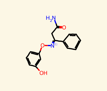 NC(=O)C/C(=N\Oc1cccc(O)c1)c1ccccc1